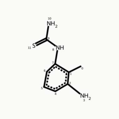 Cc1c(N)cccc1NC(N)=S